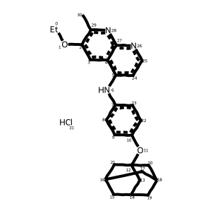 CCOc1cc2c(Nc3ccc(OC45CC6CC(CC(C6)C4)C5)cc3)ccnc2nc1C.Cl